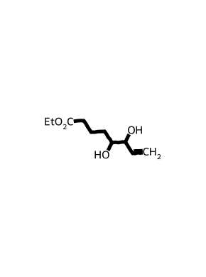 C=CC(O)C(O)CCCC(=O)OCC